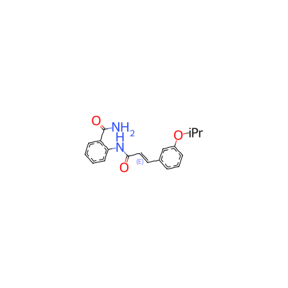 CC(C)Oc1cccc(/C=C/C(=O)Nc2ccccc2C(N)=O)c1